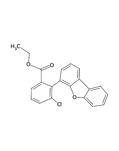 CCOC(=O)c1cccc(Cl)c1-c1cccc2c1oc1ccccc12